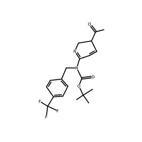 CC(=O)C1C=CC(N(Cc2ccc(C(F)(F)F)cc2)C(=O)OC(C)(C)C)=NC1